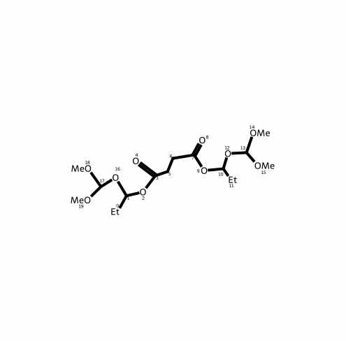 CCC(OC(=O)CCC(=O)OC(CC)OC(OC)OC)OC(OC)OC